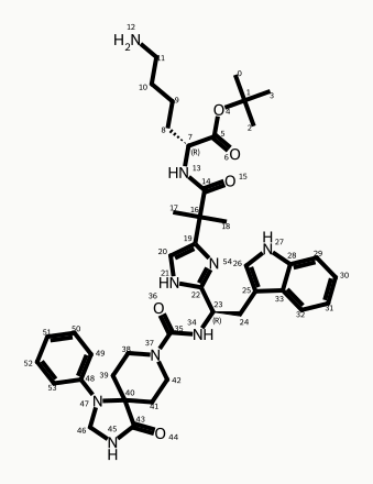 CC(C)(C)OC(=O)[C@@H](CCCCN)NC(=O)C(C)(C)c1c[nH]c([C@@H](Cc2c[nH]c3ccccc23)NC(=O)N2CCC3(CC2)C(=O)NCN3c2ccccc2)n1